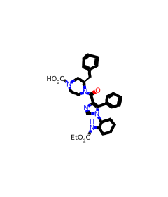 CCOC(=O)NC1CCCCC1n1cnc(C(=O)N2CCN(C(=O)O)C[C@H]2Cc2ccccc2)c1-c1ccccc1